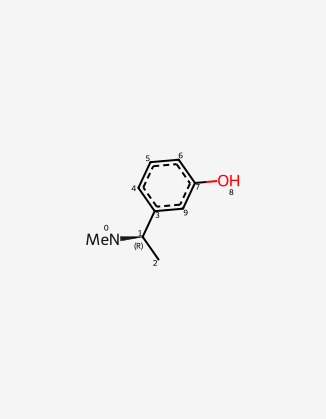 CN[C@H](C)c1cccc(O)c1